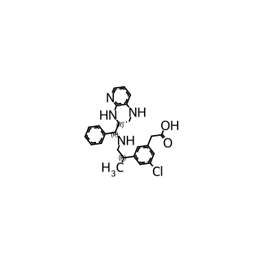 C[C@@H](CN[C@H](c1ccccc1)[C@H]1CNc2cccnc2N1)c1cc(Cl)cc(CC(=O)O)c1